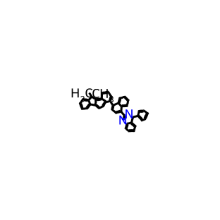 CC1(C)c2ccccc2-c2ccc3c(-c4ccc(-c5nc(-c6ccccc6)c6ccccc6n5)c5ccccc45)cccc3c21